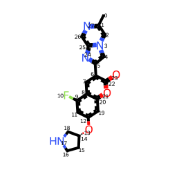 Cc1cn2cc(-c3cc4c(F)cc(O[C@@H]5CCNC5)cc4oc3=O)nc2cn1